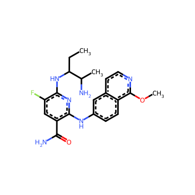 CCC(Nc1nc(Nc2ccc3c(OC)nccc3c2)c(C(N)=O)cc1F)C(C)N